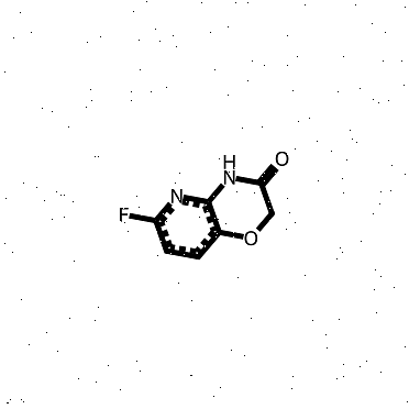 O=C1COc2ccc(F)nc2N1